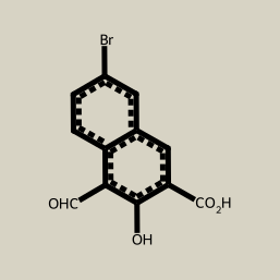 O=Cc1c(O)c(C(=O)O)cc2cc(Br)ccc12